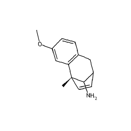 COc1ccc2c(c1)[C@@]1(C)C=CC(C2)C1N